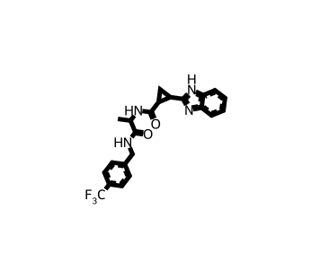 CC(NC(=O)C1CC1c1nc2ccccc2[nH]1)C(=O)NCc1ccc(C(F)(F)F)cc1